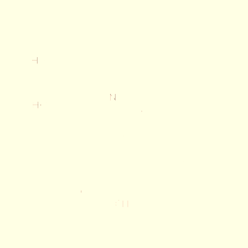 CC1CCN(C(c2ccccc2)(c2ccccc2)c2ccccc2)CC1O.CS(=O)(=O)O